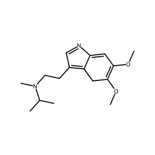 COC1=C(OC)CC2=C(CCN(C)C(C)C)C=NC2=C1